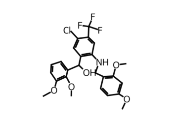 COc1ccc(CNc2cc(C(F)(F)F)c(Cl)cc2C(O)c2cccc(OC)c2OC)c(OC)c1